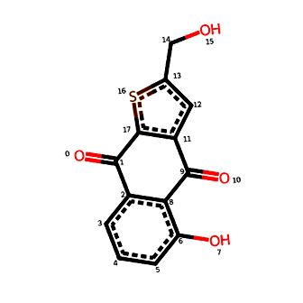 O=C1c2cccc(O)c2C(=O)c2cc(CO)sc21